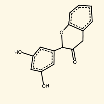 O=C1Cc2ccccc2OC1c1cc(O)cc(O)c1